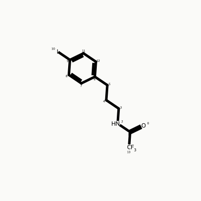 O=C(NCCCc1ccc(I)cc1)C(F)(F)F